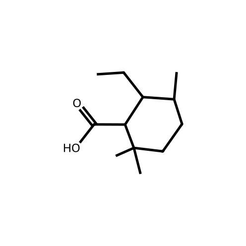 CCC1C(C)CCC(C)(C)C1C(=O)O